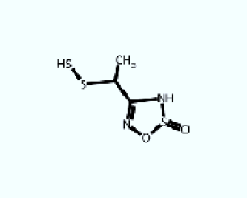 CC(SS)C1=NOS(=O)N1